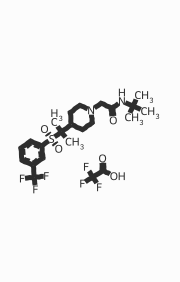 CC(C)(C)NC(=O)CN1CCC(C(C)(C)S(=O)(=O)c2cccc(C(F)(F)F)c2)CC1.O=C(O)C(F)(F)F